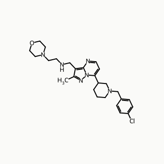 Cc1nn2c(C3CCCN(Cc4ccc(Cl)cc4)C3)ccnc2c1CNCCN1CCOCC1